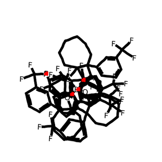 FC(F)(F)c1cccc(C2(OB(OC3(c4cccc(C(F)(F)F)c4)CCCCCCC3(c3cccc(C(F)(F)F)c3)c3cccc(C(F)(F)F)c3)OC3(c4cccc(C(F)(F)F)c4)CCCCCCC3(c3cccc(C(F)(F)F)c3)c3cccc(C(F)(F)F)c3)CCCCCCC2(c2cccc(C(F)(F)F)c2)c2cccc(C(F)(F)F)c2)c1